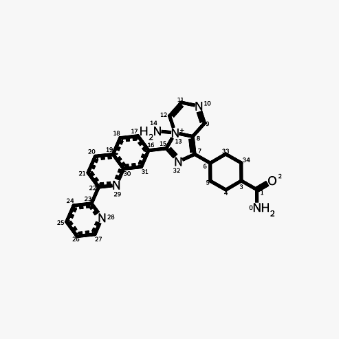 NC(=O)C1CCC(C2=C3C=NC=C[N+]3(N)C(c3ccc4ccc(-c5ccccn5)nc4c3)=N2)CC1